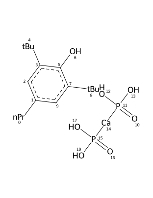 CCCc1cc(C(C)(C)C)c(O)c(C(C)(C)C)c1.O=[P](O)(O)[Ca][P](=O)(O)O